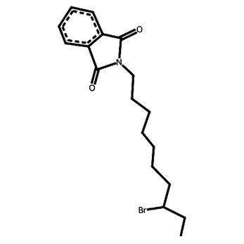 CCC(Br)CCCCCCCN1C(=O)c2ccccc2C1=O